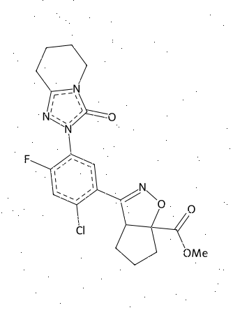 COC(=O)C12CCCC1C(c1cc(-n3nc4n(c3=O)CCCC4)c(F)cc1Cl)=NO2